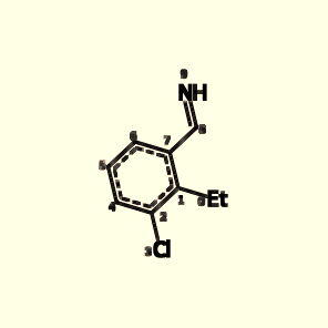 CCc1c(Cl)cccc1C=N